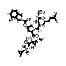 C=C[C@@H]1C[C@]1(NC(=O)C1C[C@@H](OC(=O)N2Cc3cccc(F)c3C2)CN1C(=O)[C@H](CCCC=C(C)C)NC(=O)OC(C)(C)C)C(=O)NS(=O)(=O)C1CC1